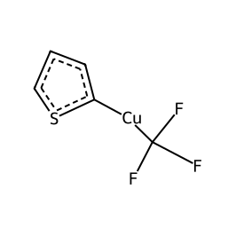 F[C](F)(F)[Cu][c]1cccs1